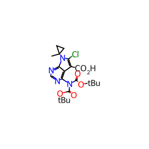 CC(C)(C)OC(=O)N(C(=O)OC(C)(C)C)c1ncnc2c1c(C(=O)O)c(Cl)n2C1(C)CC1